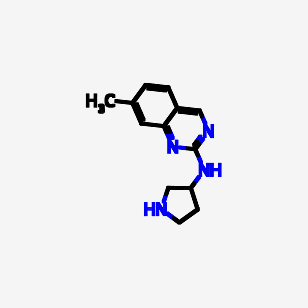 Cc1ccc2cnc(NC3CCNC3)nc2c1